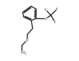 [CH2]COCCc1ccccc1OC(F)(F)F